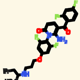 CC(C)CC(NCCCOc1cc(F)c(-n2c(N)c(C(=O)c3ccc(F)cc3F)ccc2=O)c(F)c1)C(=O)O